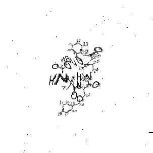 CC(C)(C)OC(=O)NC(C)(C)C(=O)NC(COCc1ccccc1)C(=O)N1CCC2(CC1)CC(=O)c1ccccc1O2